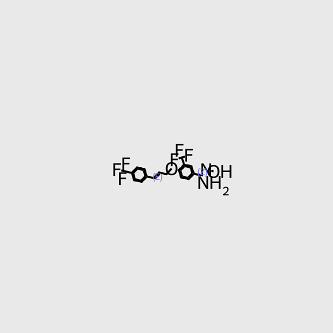 N/C(=N\O)c1ccc(OC/C=C/c2ccc(C(F)(F)F)cc2)c(C(F)(F)F)c1